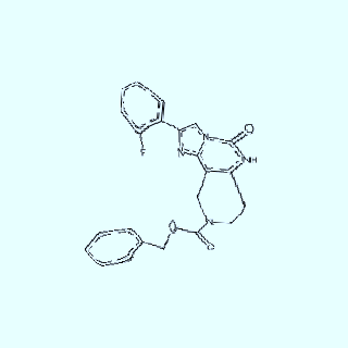 O=C(OCc1ccccc1)N1CCc2[nH]c(=O)n3cc(-c4ccccc4F)nc3c2C1